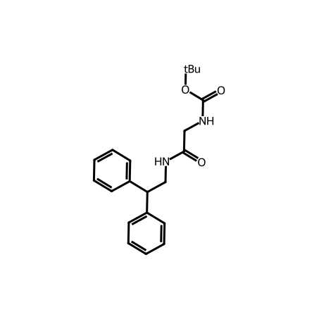 CC(C)(C)OC(=O)NCC(=O)NCC(c1ccccc1)c1ccccc1